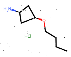 CCCCO[C@H]1C[C@@H](N)C1.Cl